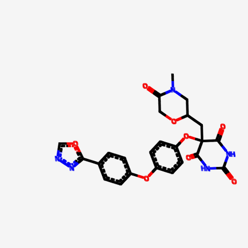 CN1CC(CC2(Oc3ccc(Oc4ccc(-c5nnco5)cc4)cc3)C(=O)NC(=O)NC2=O)OCC1=O